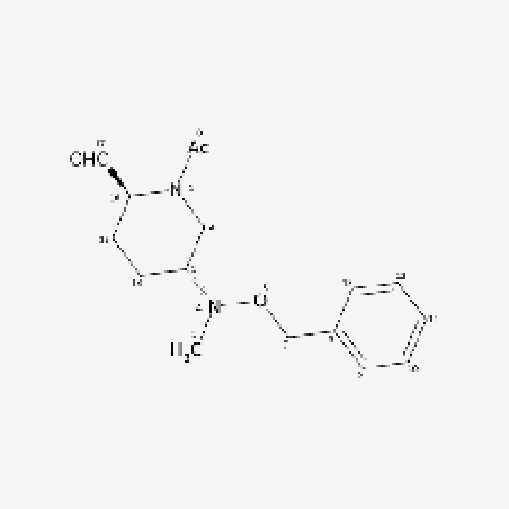 CC(=O)N1C[C@H](N(C)OCc2ccccc2)CC[C@H]1C=O